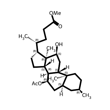 COC(=O)CC[C@@H](C)[C@H]1CC[C@H]2[C@@H]3[C@H](OC(C)=O)C[C@@H]4C[C@H](C)CC[C@]4(C)[C@H]3C[C@H](O)[C@]12C